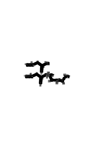 CCC(=O)CC(=O)[O-].CCC(=O)CC(=O)[O-].CCC[O][Ti+2][O]CCC